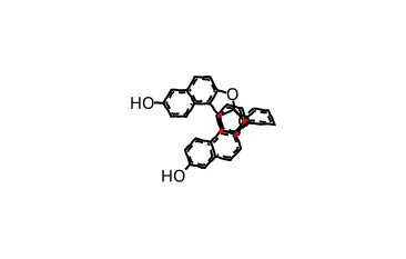 Oc1ccc2c3c(ccc2c1)OC12Oc4ccc5cc(O)ccc5c4C31c1cccc3cccc2c13